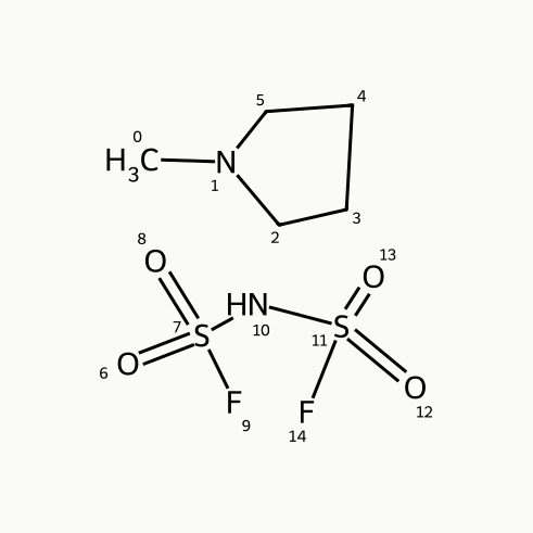 CN1CCCC1.O=S(=O)(F)NS(=O)(=O)F